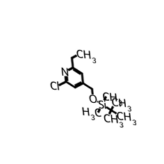 CCc1cc(CO[Si](C)(C)C(C)(C)C)cc(Cl)n1